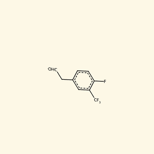 O=[C]Cc1ccc(F)c(C(F)(F)F)c1